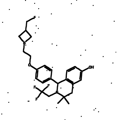 CC1(C)Cc2cc(O)ccc2C(c2ccc(OCCN3CC(CF)C3)cc2)N1CC(F)(F)F